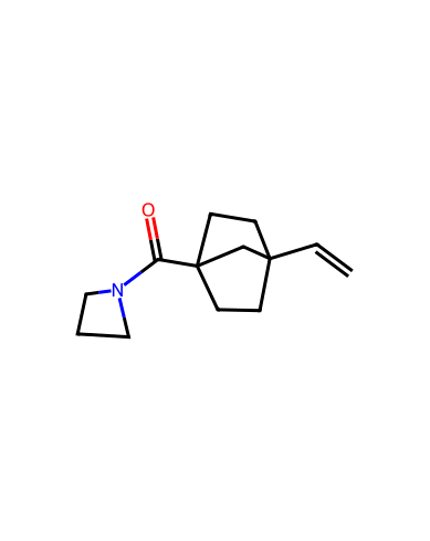 C=CC12CCC(C(=O)N3CCC3)(CC1)C2